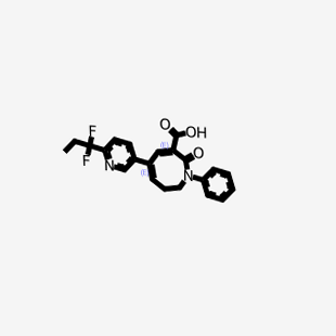 CCC(F)(F)c1ccc(C2=C/CCN(c3ccccc3)C(=O)/C(C(=O)O)=C\2)cn1